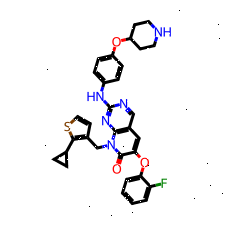 O=c1c(Oc2ccccc2F)cc2cnc(Nc3ccc(OC4CCNCC4)cc3)nc2n1Cc1ccsc1C1CC1